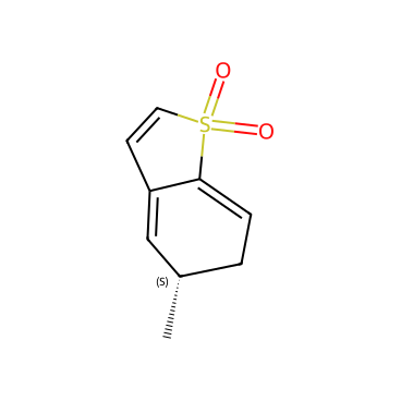 C[C@@H]1C=C2C=CS(=O)(=O)C2=CC1